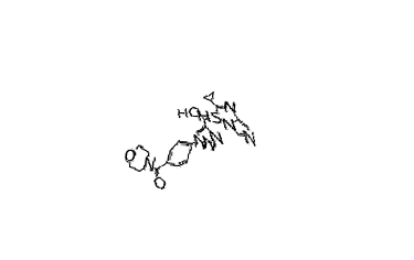 O=C(c1ccc(-n2cc(C(O)[SH]3C(C4CC4)=Nc4cncn43)nn2)cc1)N1CCOCC1